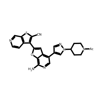 CC(=O)N1CCC(n2cc(-c3cnc(N)c4oc(-c5c(C#N)sc6cnccc56)cc34)cn2)CC1